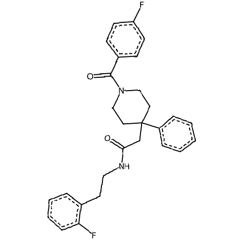 O=C(CC1(c2ccccc2)CCN(C(=O)c2ccc(F)cc2)CC1)NCCc1ccccc1F